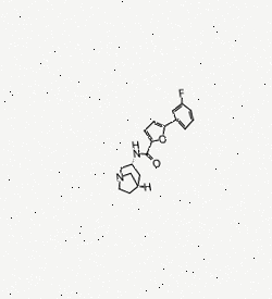 O=C(N[C@@H]1C[C@@H]2CCN(C2)C1)c1ccc(-c2cccc(F)c2)o1